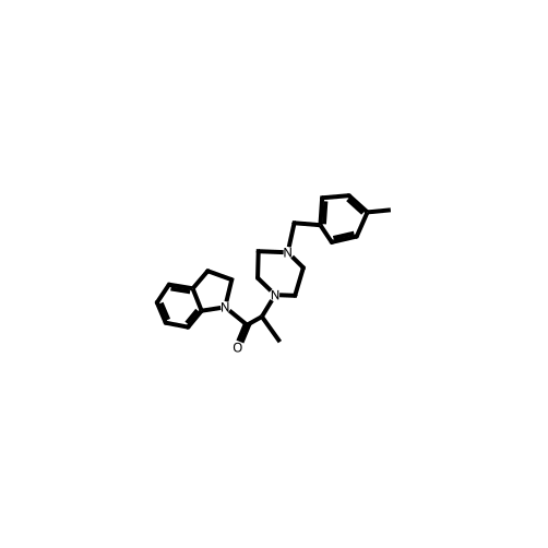 Cc1ccc(CN2CCN(C(C)C(=O)N3CCc4ccccc43)CC2)cc1